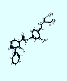 COc1cc(OC(=O)c2cccc(-c3ccccc3)c2C)ccc1CNC(CO)CO